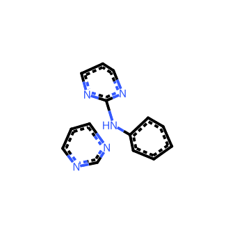 c1ccc(Nc2ncccn2)cc1.c1cncnc1